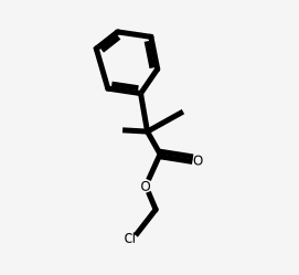 CC(C)(C(=O)OCCl)c1ccccc1